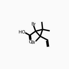 C=CC1(Br)C(C)(C)C1(Br)C(=O)O